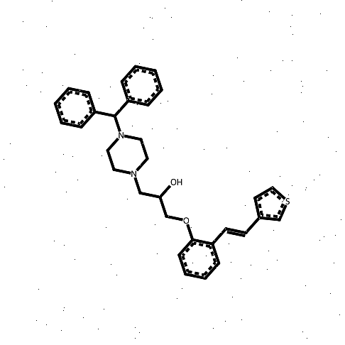 OC(COc1ccccc1C=Cc1ccsc1)CN1CCN(C(c2ccccc2)c2ccccc2)CC1